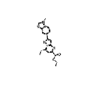 CCOC(=O)c1cc(CC)n2nc(-c3ccc4c(c3)ncn4C)cc2n1